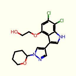 OCCOc1cc(Cl)c(Cl)c2[nH]cc(-c3cnn(C4CCCCO4)c3)c12